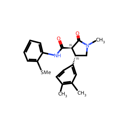 CSc1ccccc1NC(=O)[C@H]1C(=O)N(C)C[C@@H]1c1ccc(C)c(C)c1